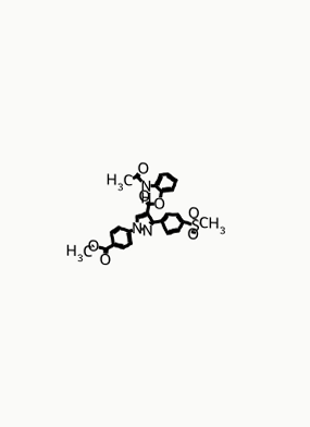 COC(=O)c1ccc(-n2cc(C(=O)Oc3ccccc3NC(C)=O)c(-c3ccc(S(C)(=O)=O)cc3)n2)cc1